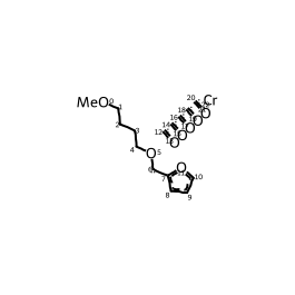 COCCCCO[C]c1ccco1.[C]=O.[C]=O.[C]=O.[C]=O.[C]=O.[Cr]